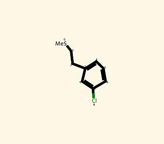 CSCCc1cccc(Cl)c1